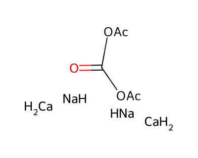 CC(=O)OC(=O)OC(C)=O.[CaH2].[CaH2].[NaH].[NaH]